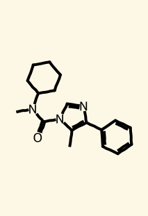 Cc1c(-c2ccccc2)ncn1C(=O)N(C)C1CCCCC1